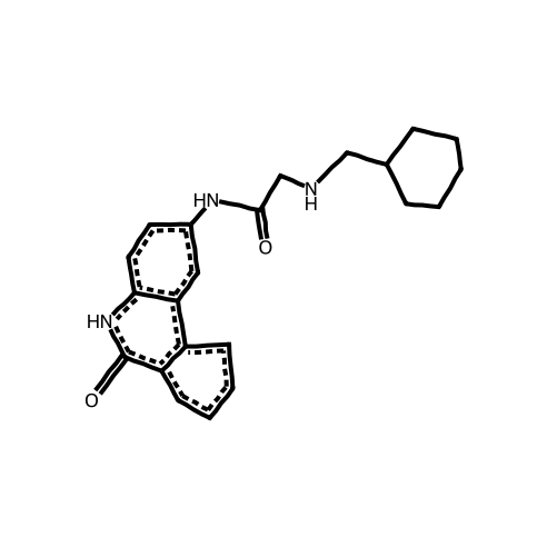 O=C(CNCC1CCCCC1)Nc1ccc2[nH]c(=O)c3ccccc3c2c1